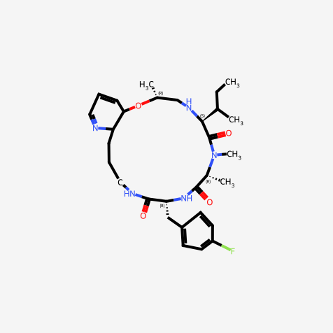 CCC(C)[C@@H]1NC[C@@H](C)OC2C=CC=NC2CCCNC(=O)[C@@H](Cc2ccc(F)cc2)NC(=O)[C@@H](C)N(C)C1=O